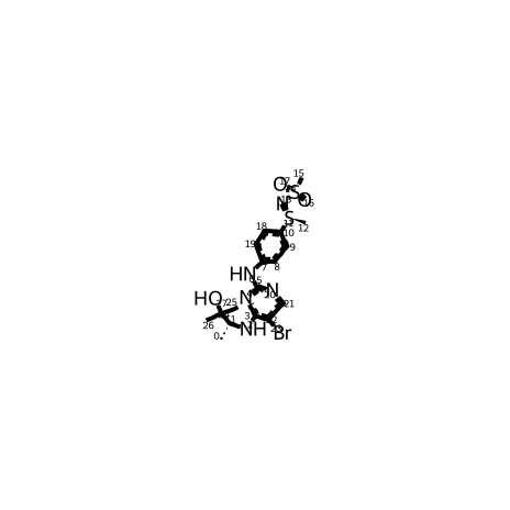 C[C@@H](Nc1nc(Nc2ccc([S@](C)=NS(C)(=O)=O)cc2)ncc1Br)C(C)(C)O